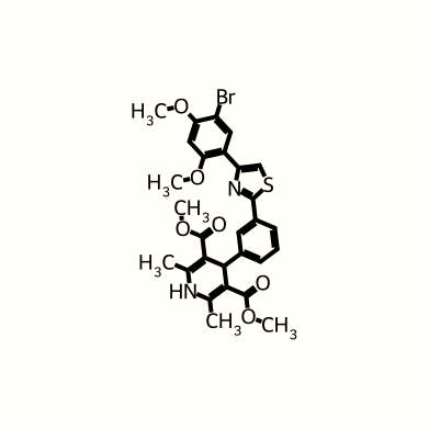 COC(=O)C1=C(C)NC(C)=C(C(=O)OC)C1c1cccc(-c2nc(-c3cc(Br)c(OC)cc3OC)cs2)c1